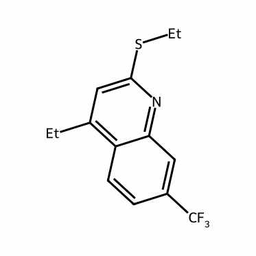 CCSc1cc(CC)c2ccc(C(F)(F)F)cc2n1